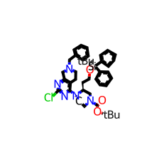 CC(C)(C)OC(=O)N1CCN(c2nc(Cl)nc3c2CCN(Cc2ccccc2)C3)[C@@H](CCO[Si](c2ccccc2)(c2ccccc2)C(C)(C)C)C1